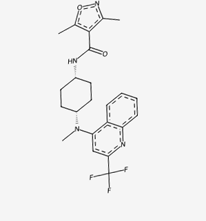 Cc1noc(C)c1C(=O)N[C@H]1CC[C@@H](N(C)c2cc(C(F)(F)F)nc3ccccc23)CC1